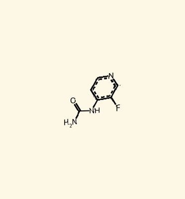 NC(=O)Nc1ccn[c]c1F